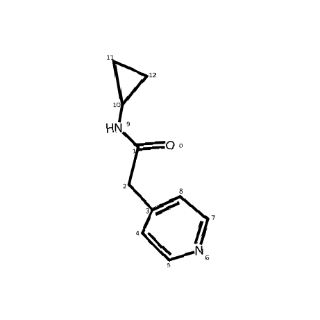 O=C(Cc1ccncc1)NC1CC1